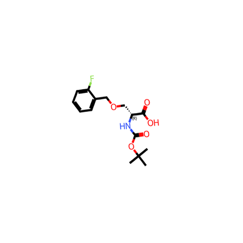 CC(C)(C)OC(=O)N[C@H](COCc1ccccc1F)C(=O)O